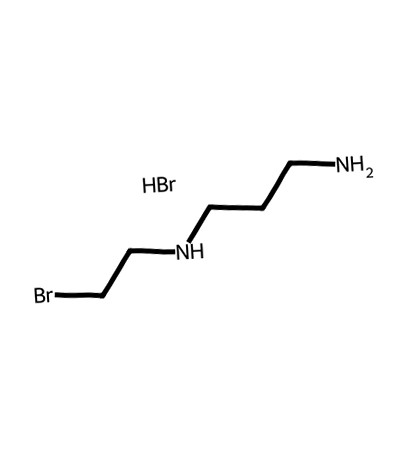 Br.NCCCNCCBr